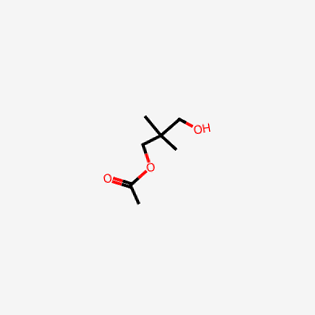 CC(=O)OCC(C)(C)CO